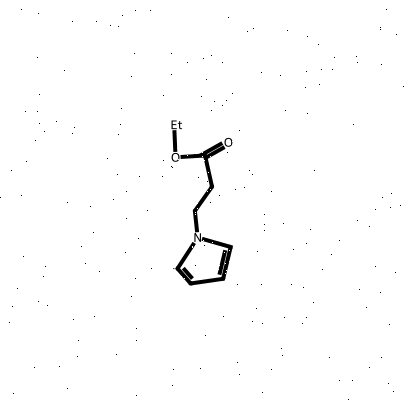 CCOC(=O)CCn1[c]ccc1